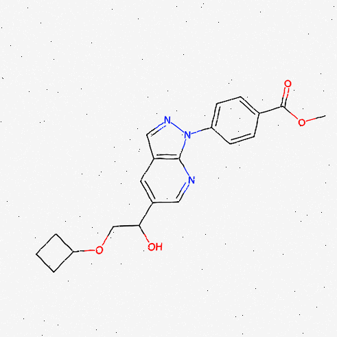 COC(=O)c1ccc(-n2ncc3cc(C(O)COC4CCC4)cnc32)cc1